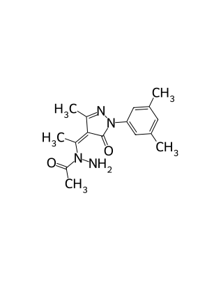 CC(=O)N(N)/C(C)=C1\C(=O)N(c2cc(C)cc(C)c2)N=C1C